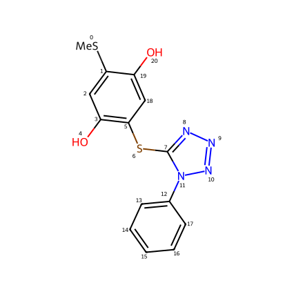 CSc1cc(O)c(Sc2nnnn2-c2ccccc2)cc1O